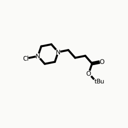 CC(C)(C)OC(=O)CCCN1CCN(Cl)CC1